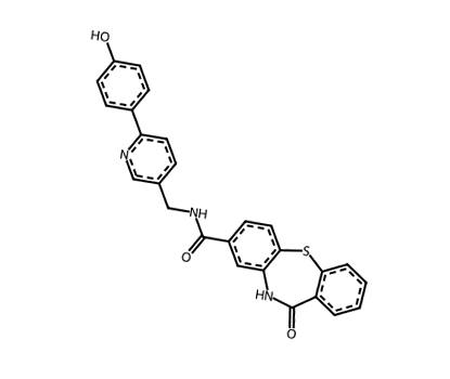 O=C(NCc1ccc(-c2ccc(O)cc2)nc1)c1ccc2c(c1)NC(=O)c1ccccc1S2